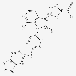 Nc1nccc2c1n(-c1ccc(Oc3ccc4c(c3)OCO4)cc1)c(=O)n2[C@@H]1CCN(C(=O)O)C1